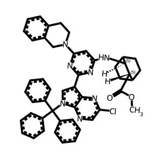 COC(=O)[C@H]1C2CCC(CC2)[C@@H]1Nc1cc(N2CCc3ccccc3C2)nc(-c2cn(C(c3ccccc3)(c3ccccc3)c3ccccc3)c3ncc(Cl)nc23)n1